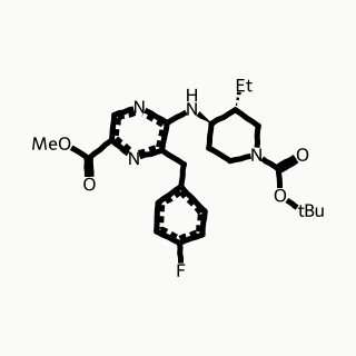 CC[C@@H]1CN(C(=O)OC(C)(C)C)CC[C@H]1Nc1ncc(C(=O)OC)nc1Cc1ccc(F)cc1